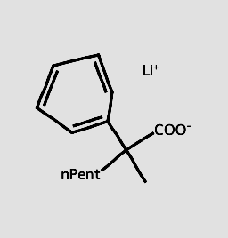 CCCCCC(C)(C(=O)[O-])c1ccccc1.[Li+]